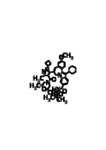 COc1ccc2c(c1)C=C(c1c(C(=O)N3C[C@@H](C)O[C@@H](C)C3)c(C)nn1C1CCC1)Cn1c-2c(C2CCCCC2)c2ccc(C(=O)NS(=O)(=O)N(C)C)cc21